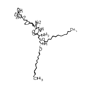 CCCCCCCCCCCCOC[C@H](CSC[C@H](N)C(=O)N[C@@H](CO)C(=O)NCCOCCOCCP(=O)(O)O)NC(=O)CCCCCCCCCCCC